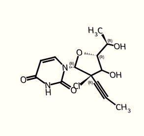 CC#C[C@@]1(Cl)C(O)[C@@H]([C@@H](C)O)O[C@H]1n1ccc(=O)[nH]c1=O